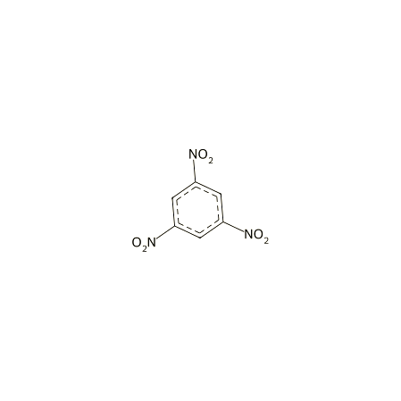 O=[N+]([O-])c1cc([N+](=O)[O-])cc([N+](=O)[O-])c1